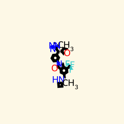 Cn1cnnc1C(c1cccc(N2Cc3c(cc(CNC4(C)CCC4)cc3C(F)(F)F)C2=O)c1)[C@@H]1CCOC1